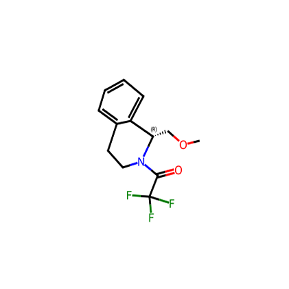 COC[C@H]1c2ccccc2CCN1C(=O)C(F)(F)F